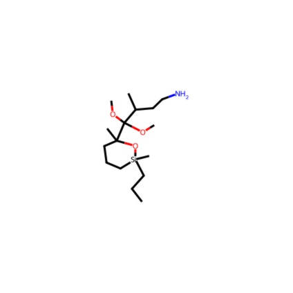 CCC[Si]1(C)CCCC(C)(C(OC)(OC)C(C)CCN)O1